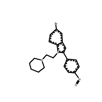 O=Nc1ccc(-c2cc3cc(Br)ccc3n2CCN2CCCCC2)cc1